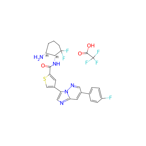 N[C@@H]1CCCC(F)(F)[C@@H]1NC(=O)c1cc(-c2cnc3cc(-c4ccc(F)cc4)cnn23)cs1.O=C(O)C(F)(F)F